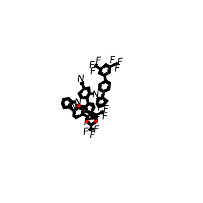 N#Cc1cc(-n2c3ccccc3c3ccc(-c4cc(C(F)(F)F)cc(C(F)(F)F)c4)cc32)c(-c2ccc(C(F)(F)F)cc2C#N)c(-n2c3ccccc3c3ccc(-c4cc(C(F)(F)F)cc(C(F)(F)F)c4)cc32)c1